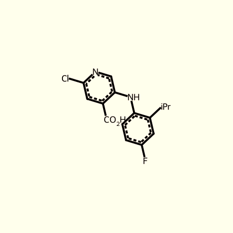 CC(C)c1cc(F)ccc1Nc1cnc(Cl)cc1C(=O)O